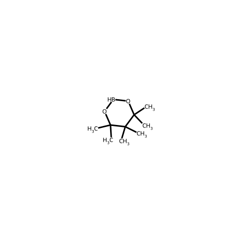 CC1(C)OBOC(C)(C)C1(C)C